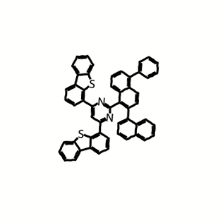 c1ccc(-c2cccc3c(-c4nc(-c5cccc6c5sc5ccccc56)cc(-c5cccc6c5sc5ccccc56)n4)c(-c4cccc5ccccc45)ccc23)cc1